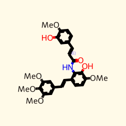 COc1ccc(/C=C/C(=O)Nc2c(C=Cc3cc(OC)c(OC)c(OC)c3)ccc(OC)c2O)cc1O